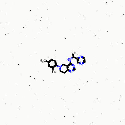 Cc1ccc(N2CCc3ncnc(NC(C)c4cnccn4)c3C2)c(C#N)c1